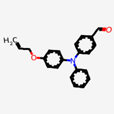 C=CCOc1ccc(N(c2ccccc2)c2ccc(C=O)cc2)cc1